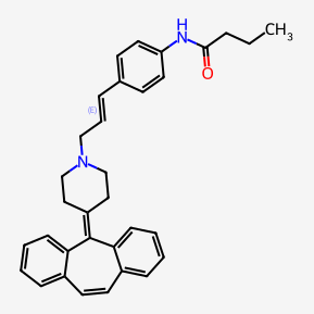 CCCC(=O)Nc1ccc(/C=C/CN2CCC(=C3c4ccccc4C=Cc4ccccc43)CC2)cc1